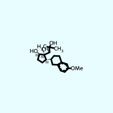 COc1ccc2c(c1)CCC([C@@H]1CC[C@H](O)[C@@]1(C)CC(C)(C)O)C2